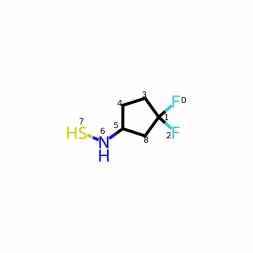 FC1(F)CCC(NS)C1